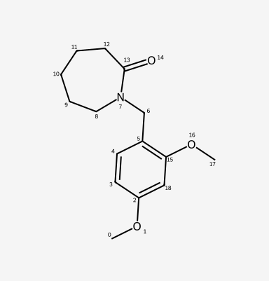 COc1ccc(CN2CCCCCC2=O)c(OC)c1